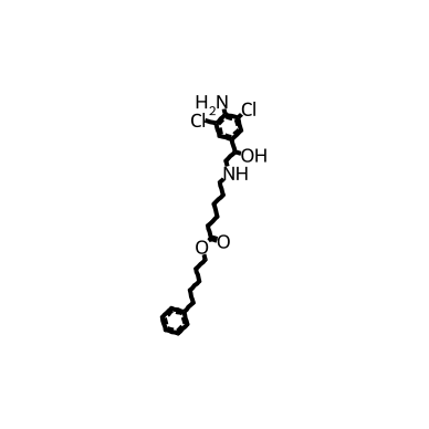 Nc1c(Cl)cc(C(O)CNCCCCCC(=O)OCCCCCc2ccccc2)cc1Cl